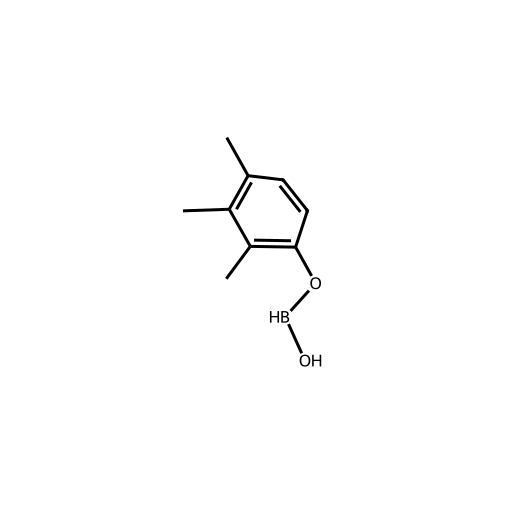 Cc1ccc(OBO)c(C)c1C